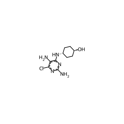 Nc1nc(Cl)c(N)c(N[C@H]2CC[C@H](O)CC2)n1